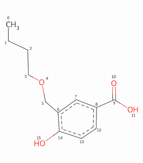 CCCCOCc1cc(C(=O)O)ccc1O